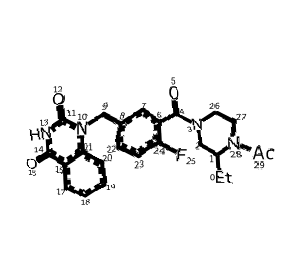 CCC1CN(C(=O)c2cc(Cn3c(=O)[nH]c(=O)c4ccccc43)ccc2F)CCN1C(C)=O